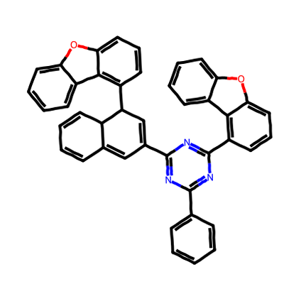 C1=CC2=CC(c3nc(-c4ccccc4)nc(-c4cccc5oc6ccccc6c45)n3)=CC(c3cccc4oc5ccccc5c34)C2C=C1